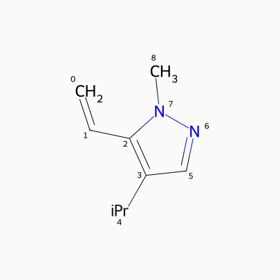 C=Cc1c(C(C)C)cnn1C